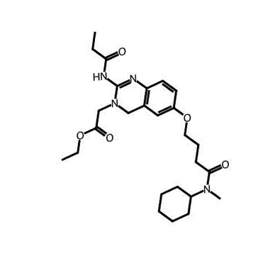 CCOC(=O)CN1Cc2cc(OCCCC(=O)N(C)C3CCCCC3)ccc2N=C1NC(=O)CC